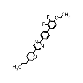 CCCC1CCC(c2cnc(-c3ccc(-c4ccc(OCC)c(F)c4F)cc3)nc2)OC1